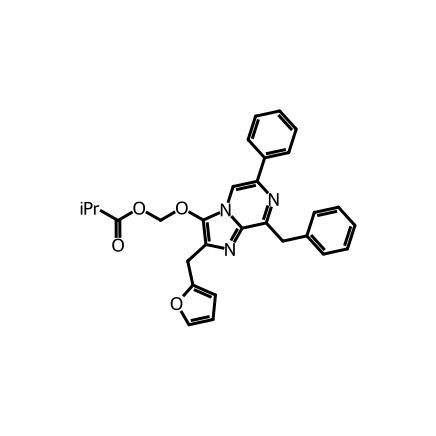 CC(C)C(=O)OCOc1c(Cc2ccco2)nc2c(Cc3ccccc3)nc(-c3ccccc3)cn12